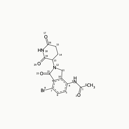 CC(=O)Nc1ccc(Br)c2c1CN(C1CCC(=O)NC1=O)C2=O